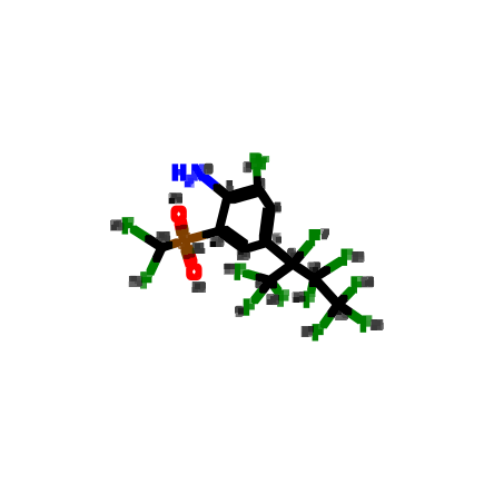 Nc1c(Br)cc(C(F)(C(F)(F)F)C(F)(F)C(F)(F)F)cc1S(=O)(=O)C(F)F